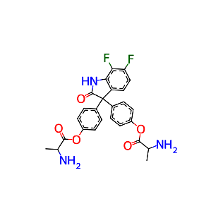 CC(N)C(=O)Oc1ccc(C2(c3ccc(OC(=O)C(C)N)cc3)C(=O)Nc3c2ccc(F)c3F)cc1